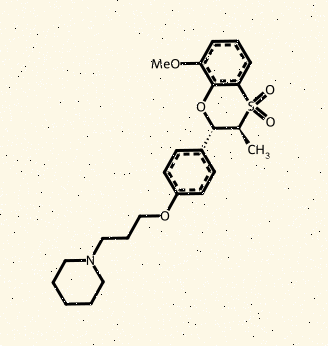 COc1cccc2c1O[C@@H](c1ccc(OCCCN3CCCCC3)cc1)[C@H](C)S2(=O)=O